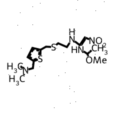 COC(C)NC(=C[N+](=O)[O-])NCCSCc1ccc(CN(C)C)s1